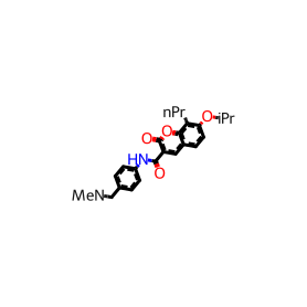 CCCc1c(OC(C)C)ccc2cc(C(=O)Nc3ccc(CNC)cc3)c(=O)oc12